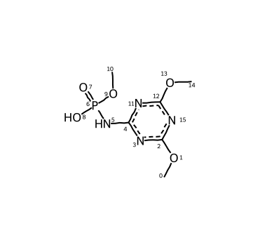 COc1nc(NP(=O)(O)OC)nc(OC)n1